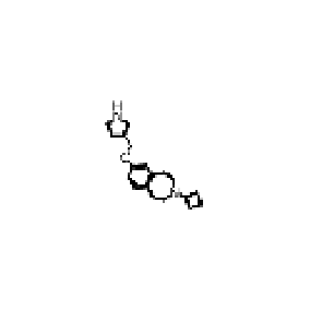 c1cc2c(cc1OC[C@H]1CCNC1)CCN(C1CCC1)CC2